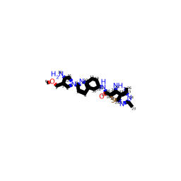 COCC1CN(c2ccc3c(n2)CCC(NC(=O)c2sc4nc(C)nc(C)c4c2N)C3)CC1N